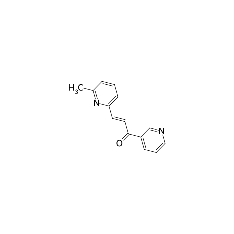 Cc1cccc(/C=C/C(=O)c2cccnc2)n1